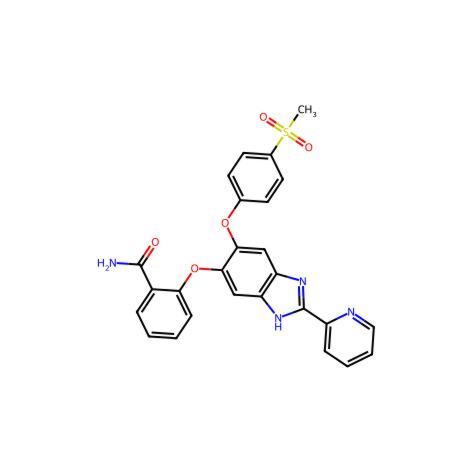 CS(=O)(=O)c1ccc(Oc2cc3nc(-c4ccccn4)[nH]c3cc2Oc2ccccc2C(N)=O)cc1